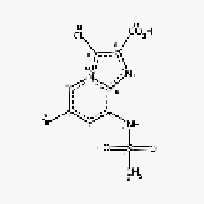 CS(=O)(=O)Nc1cc(Br)cn2c(Cl)c(C(=O)O)nc12